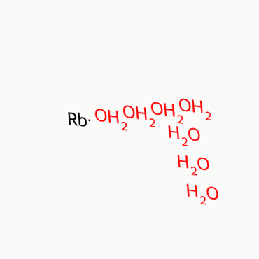 O.O.O.O.O.O.O.[Rb]